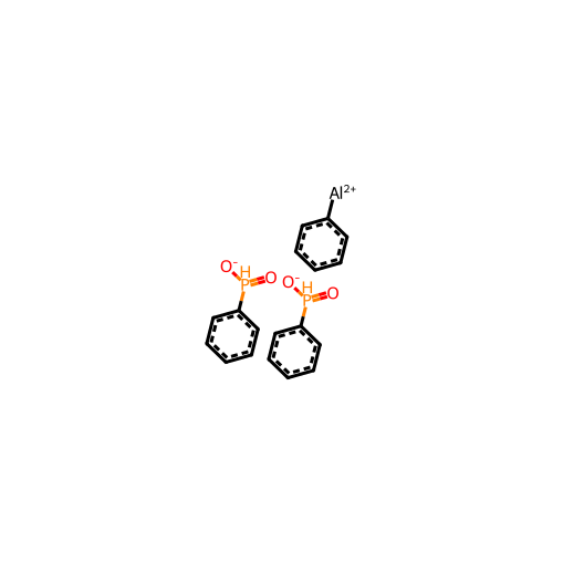 O=[PH]([O-])c1ccccc1.O=[PH]([O-])c1ccccc1.[Al+2][c]1ccccc1